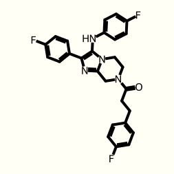 O=C(CCc1ccc(F)cc1)N1CCn2c(nc(-c3ccc(F)cc3)c2Nc2ccc(F)cc2)C1